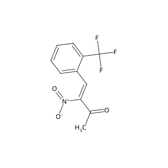 CC(=O)C(=Cc1ccccc1C(F)(F)F)[N+](=O)[O-]